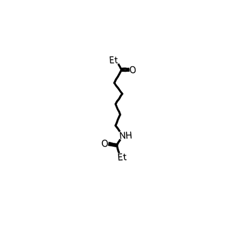 CCC(=O)CCCCCNC(=O)CC